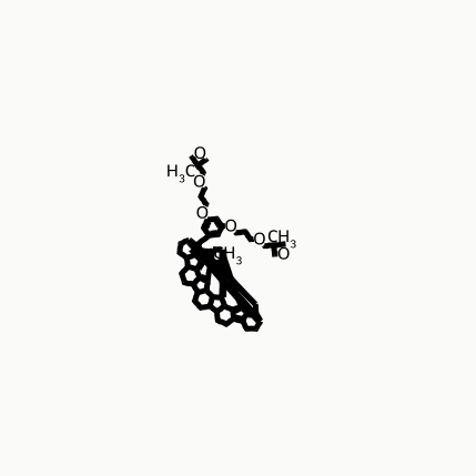 CN1CC23c4c5c6c7c8c4C4CCC8C8CCC9C%10CCC%11=C%12CCC%13=C(CCC42)C3(C2C%13=C%12C3=C%11C%10C(=C6C3=C52)C9C78)C1c1cc(OCCCOCC2(C)COC2)cc(OCCCOCC2(C)COC2)c1